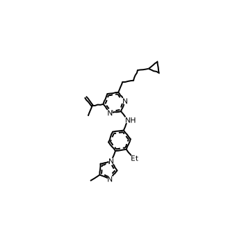 C=C(C)c1cc(CCCC2CC2)nc(Nc2ccc(-n3cnc(C)c3)c(CC)c2)n1